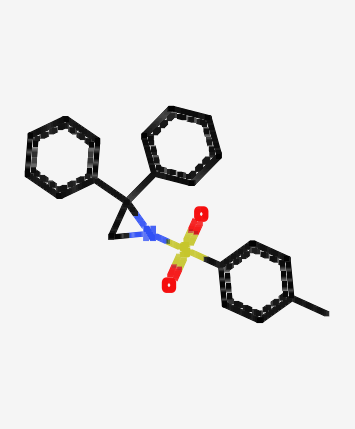 Cc1ccc(S(=O)(=O)N2CC2(c2ccccc2)c2ccccc2)cc1